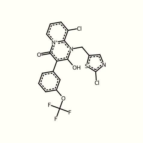 O=c1c(-c2cccc(OC(F)(F)F)c2)c(O)n(Cc2cnc(Cl)s2)c2c(Cl)ccc[n+]12